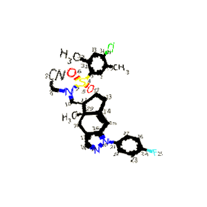 Cc1cc(S(=O)(=O)N(CC#N)C[C@H]2CCC3=Cc4c(cnn4-c4ccc(F)cc4)C[C@@]32C)c(C)cc1Cl